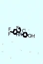 Oc1ccc(Nc2ccnc3cc(C(F)F)ccc23)c(Cl)c1